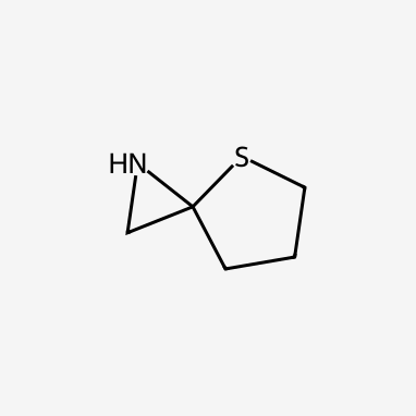 C1CSC2(C1)CN2